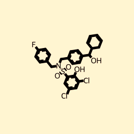 O=S(=O)(c1cc(Cl)cc(Cl)c1O)N(Cc1ccc(F)cc1)Cc1ccc(C(O)C2C=CC=CC2)cc1